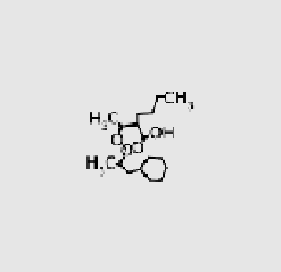 CCCCC(C(=O)O)C(C)OOC(C)CC1CCCCC1